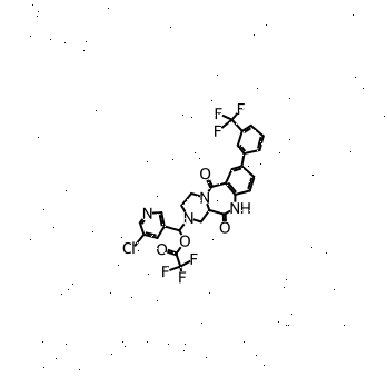 O=C1Nc2ccc(-c3cccc(C(F)(F)F)c3)cc2C(=O)N2CCN(C(OC(=O)C(F)(F)F)c3cncc(Cl)c3)CC12